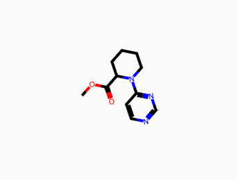 COC(=O)C1CCCCN1c1ccn[c]n1